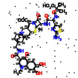 C[C@@H]1S[C@@H]2[C@H](NC(=O)/C(=N\OC(C)(C)C(=O)O)c3csc(N)n3)C(=O)N2C(C(=O)[O-])=C1C[N+]12CCC(CNC(=O)c3cn(C)c4cc(O)c(O)cc4c3=O)(CC1)CC2